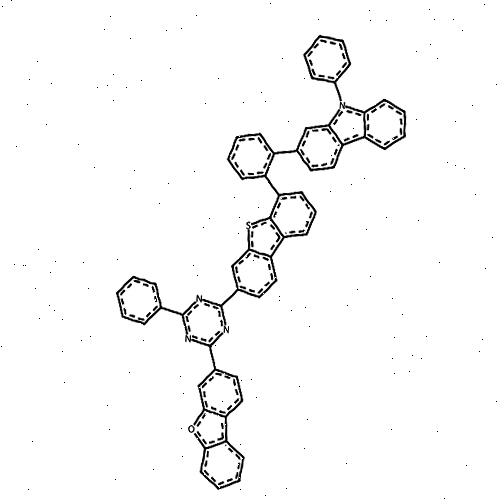 c1ccc(-c2nc(-c3ccc4c(c3)oc3ccccc34)nc(-c3ccc4c(c3)sc3c(-c5ccccc5-c5ccc6c7ccccc7n(-c7ccccc7)c6c5)cccc34)n2)cc1